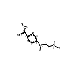 CNCCN(C)c1ccc(C(=O)OC)cc1